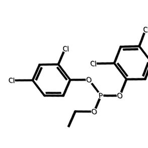 CCOP(Oc1ccc(Cl)cc1Cl)Oc1ccc(Cl)cc1Cl